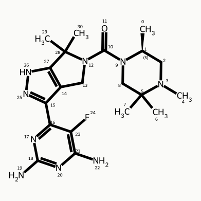 C[C@H]1CN(C)C(C)(C)CN1C(=O)N1Cc2c(-c3nc(N)nc(N)c3F)n[nH]c2C1(C)C